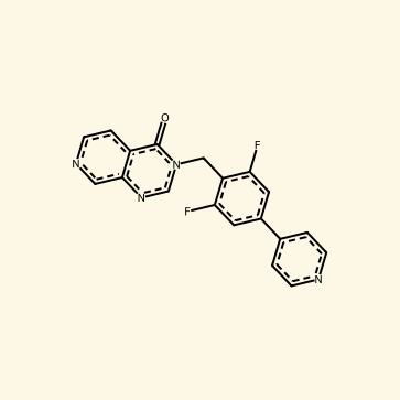 O=c1c2ccncc2ncn1Cc1c(F)cc(-c2ccncc2)cc1F